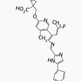 C\C(F)=C/C(=C\N=C\c1ncc(-c2ccccc2)[nH]1)c1cnc(OCC2(C(=O)O)CC2)cc1C